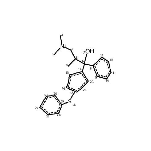 CC(CN(C)C)C(O)(c1ccccc1)c1ccc(Sc2ccccc2)cc1